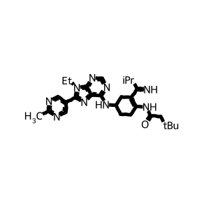 CCn1c(-c2cnc(C)nc2)nc2c(NC3CCC(NC(=O)CC(C)(C)C)=C(C(=N)C(C)C)C3)ncnc21